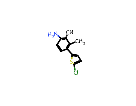 Cc1c(-c2ccc(Cl)s2)ccc(N)c1C#N